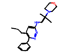 CCCc1cc(NCC(C)(C)N2CCOCC2)nnc1-c1ccccc1